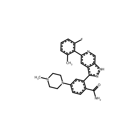 Cc1cccc(F)c1-c1cc2c(-c3cc(N4CCN(C)CC4)ccc3C(N)=O)n[nH]c2cn1